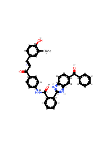 COc1cc(/C=C/C(=O)c2ccc(NC(=O)c3ccccc3-c3nc4cc(C(=O)c5ccccc5)ccc4[nH]3)cc2)ccc1O